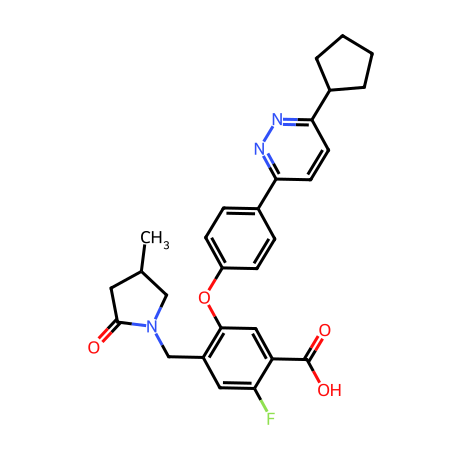 CC1CC(=O)N(Cc2cc(F)c(C(=O)O)cc2Oc2ccc(-c3ccc(C4CCCC4)nn3)cc2)C1